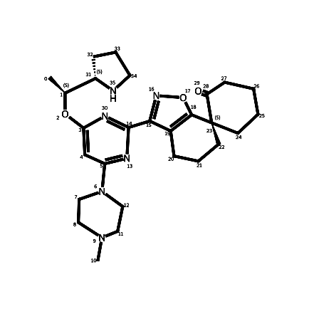 C[C@H](Oc1cc(N2CCN(C)CC2)nc(-c2noc3c2CCC[C@@]32CCCCC2=O)n1)[C@@H]1CCCN1